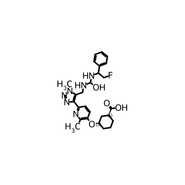 Cc1nc(-c2nnn(C)c2CNC(O)NC(CF)c2ccccc2)ccc1O[C@H]1CCC[C@H](C(=O)O)C1